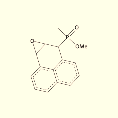 COP(C)(=O)C1c2cccc3cccc(c23)C2OC21